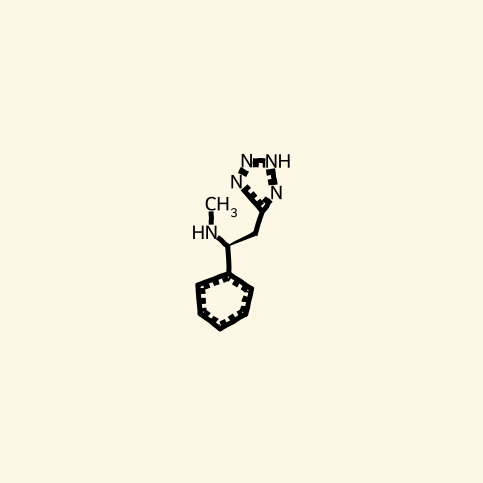 CN[C@@H](Cc1nn[nH]n1)c1ccccc1